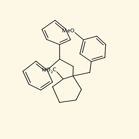 COc1cccc(CC2(CC(c3ccccc3)c3ccccc3)CCCCC2C(=O)O)c1